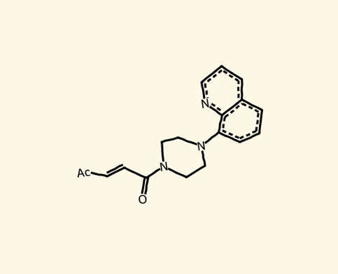 CC(=O)C=CC(=O)N1CCN(c2cccc3cccnc23)CC1